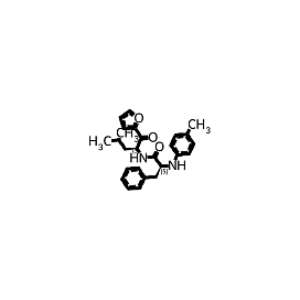 Cc1ccc(N[C@@H](Cc2ccccc2)C(=O)N[C@@H](CC(C)C)C(=O)c2ccco2)cc1